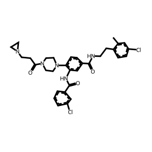 Cc1cc(Cl)ccc1CCNC(=O)c1ccc(N2CCN(C(=O)CCN3CC3)CC2)c(NC(=O)c2cccc(Cl)c2)c1